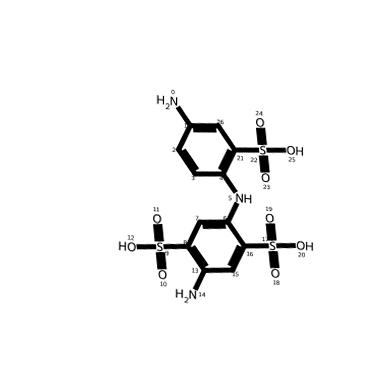 Nc1ccc(Nc2cc(S(=O)(=O)O)c(N)cc2S(=O)(=O)O)c(S(=O)(=O)O)c1